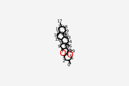 CC1CCC2(OC1)OC1CC3C4CC=C5CC(C)CC[C@]5(C)C4CCC3(C)C1[C@@H]2C